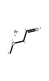 COCC=O.[Pr]